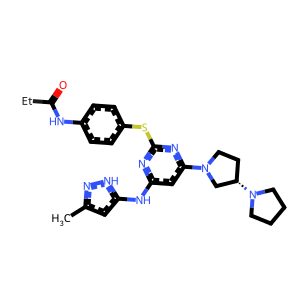 CCC(=O)Nc1ccc(Sc2nc(Nc3cc(C)n[nH]3)cc(N3CC[C@H](N4CCCC4)C3)n2)cc1